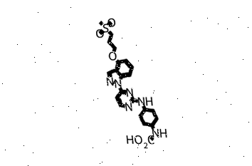 CS(=O)(=O)CCCOc1cccc2c1cnn2-c1ccnc(NC2CCC(NC(=O)O)CC2)n1